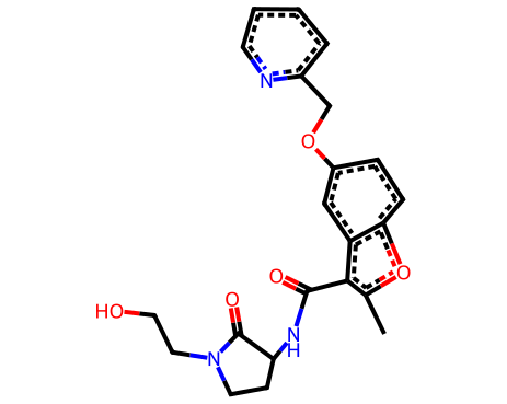 Cc1oc2ccc(OCc3ccccn3)cc2c1C(=O)NC1CCN(CCO)C1=O